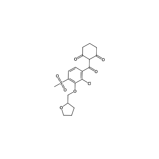 CS(=O)(=O)c1ccc(C(=O)C2C(=O)CCCC2=O)c(Cl)c1OCC1CCCO1